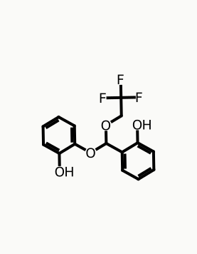 Oc1ccccc1OC(OCC(F)(F)F)c1ccccc1O